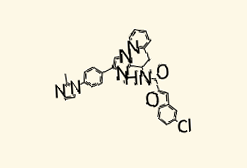 Cc1nccn1-c1ccc(-c2cnc(C(Cc3ccccn3)NC(=O)c3cc4cc(Cl)ccc4o3)n2C)cc1